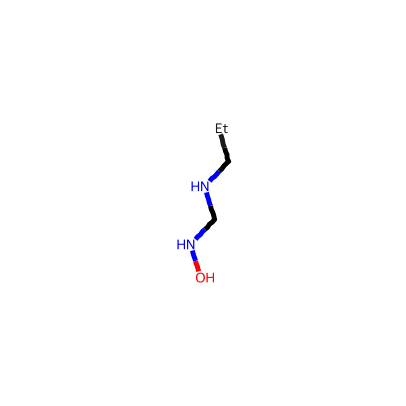 CCCNCNO